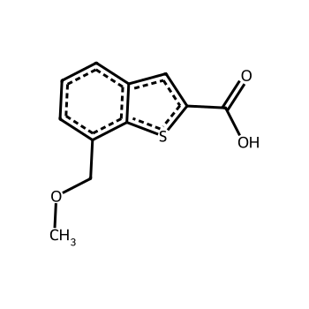 COCc1cccc2cc(C(=O)O)sc12